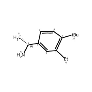 CCc1cc([C@@H](C)N)ccc1C(C)(C)C